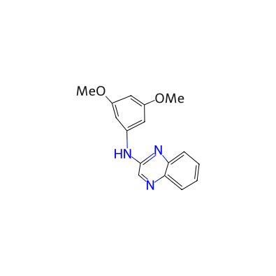 COc1cc(Nc2cnc3ccccc3n2)cc(OC)c1